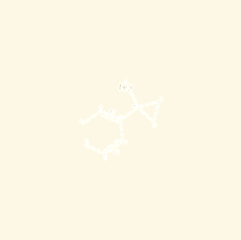 C/C=C\C(=C/C)C1(O)CC1